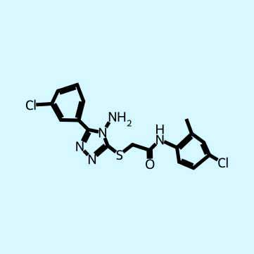 Cc1cc(Cl)ccc1NC(=O)CSc1nnc(-c2cccc(Cl)c2)n1N